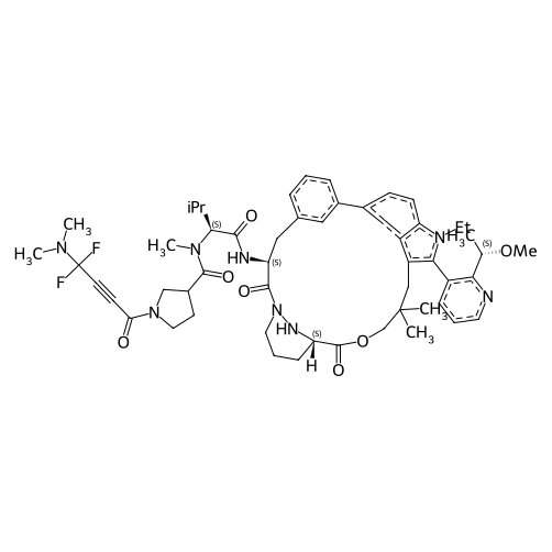 CCn1c(-c2cccnc2[C@H](C)OC)c2c3cc(ccc31)-c1cccc(c1)C[C@H](NC(=O)[C@H](C(C)C)N(C)C(=O)C1CCN(C(=O)C#CC(F)(F)N(C)C)C1)C(=O)N1CCC[C@H](N1)C(=O)OCC(C)(C)C2